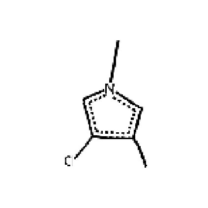 Cc1cn(C)cc1Cl